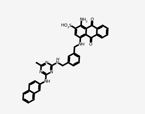 Cc1nc(NCc2cccc(CNc3cc(S(=O)(=O)O)c(N)c4c3C(=O)c3ccccc3C4=O)c2)nc(Nc2ccc3ccccc3c2)n1